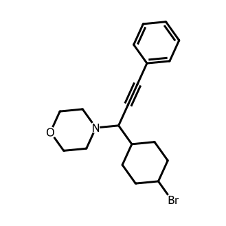 BrC1CCC(C(C#Cc2ccccc2)N2CCOCC2)CC1